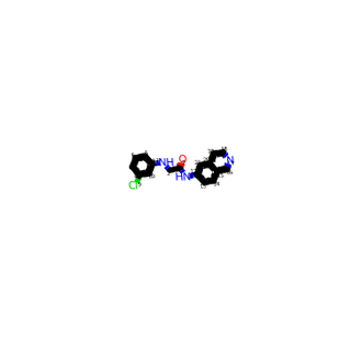 O=C(CNc1cccc(Cl)c1)Nc1ccc2cnccc2c1